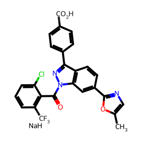 Cc1cnc(-c2ccc3c(-c4ccc(C(=O)O)cc4)nn(C(=O)c4c(Cl)cccc4C(F)(F)F)c3c2)o1.[NaH]